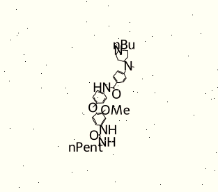 CCCCCNC(=O)Nc1ccc(Oc2ccc(NC(=O)c3ccc(N(C)C4CCN(CCCC)CC4)cc3)cc2)c(OC)c1